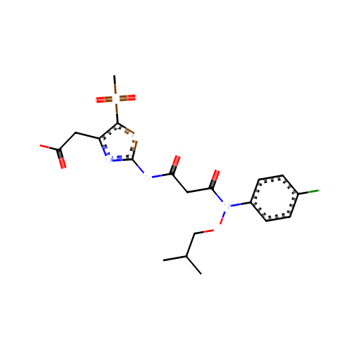 CC(C)CON(C(=O)CC(=O)Nc1nc(CC(=O)O)c(S(C)(=O)=O)s1)c1ccc(F)cc1